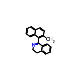 Cc1ccc2ccccc2c1C1=NCCc2ccccc21